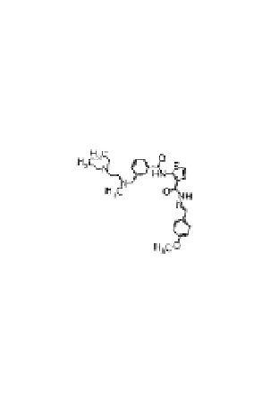 CCN(CC)CCN(C)Cc1cccc(C(=O)Nc2sccc2C(=O)NN=Cc2ccc(OC)cc2)c1